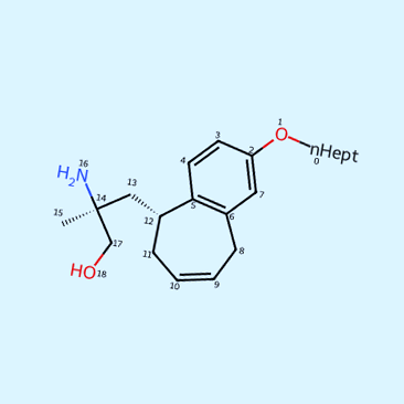 CCCCCCCOc1ccc2c(c1)CC=CC[C@@H]2C[C@](C)(N)CO